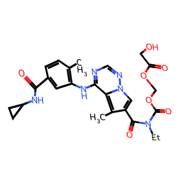 CCN(C(=O)OCOC(=O)CO)C(=O)c1cn2ncnc(Nc3cc(C(=O)NC4CC4)ccc3C)c2c1C